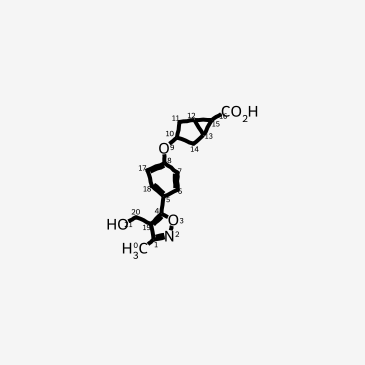 Cc1noc(-c2ccc(OC3CC4C(C3)C4C(=O)O)cc2)c1CO